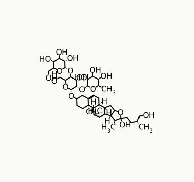 CC1O[C@@H](O[C@H]2C(O)[C@H](O[C@@H]3OC(CO)[C@@H](O)C(O)[C@@H]3O)C(CO)O[C@H]2OC2CC[C@@]3(C)C(=CC[C@H]4[C@@H]5CC6OC(O)(CC[C@@H](C)CO)[C@@H](C)[C@@H]6[C@@]5(C)CC[C@@H]43)C2)[C@@H](O)C(O)[C@H]1O